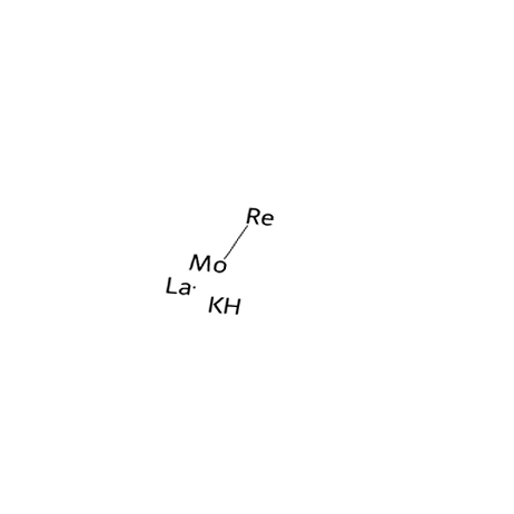 [KH].[La].[Mo][Re]